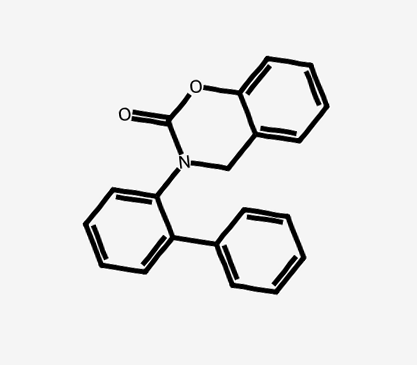 O=C1Oc2ccccc2CN1c1ccccc1-c1ccccc1